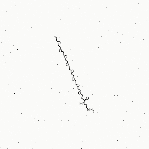 CCCOCCOCCOCCOCCOCCOCCOCCOCCC(=O)NCCN